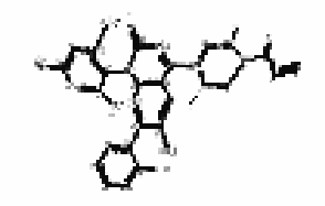 C=CC(=O)N1C[C@H](C)N(c2nc(=O)n(-c3c(C(C)C)cc(Br)nc3C(C)C)c3nc(-c4ccccc4F)c(Cl)cc23)C[C@H]1C